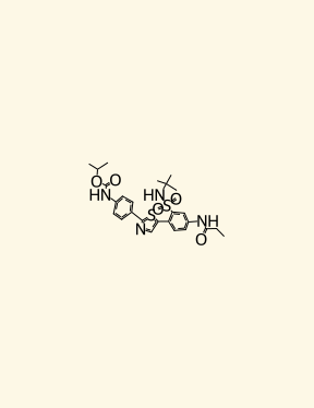 CCC(=O)Nc1ccc(-c2cnc(-c3ccc(NC(=O)OC(C)C)cc3)s2)c(S(=O)(=O)NC(C)(C)C)c1